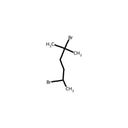 CC(Br)CCC(C)(C)Br